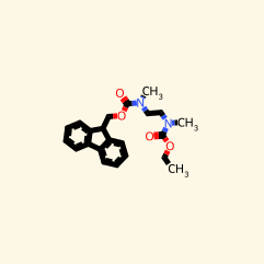 CCOC(=O)N(C)CCN(C)C(=O)OCC1c2ccccc2-c2ccccc21